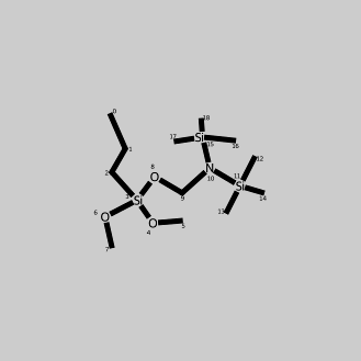 CCC[Si](OC)(OC)OCN([Si](C)(C)C)[Si](C)(C)C